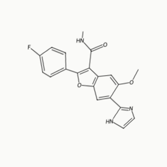 CNC(=O)c1c(-c2ccc(F)cc2)oc2cc(-c3ncc[nH]3)c(OC)cc12